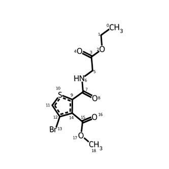 CCOC(=O)CNC(=O)c1scc(Br)c1C(=O)OC